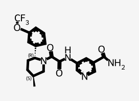 C[C@H]1CC[C@H](c2cccc(OC(F)(F)F)c2)N(C(=O)C(=O)Nc2cncc(C(N)=O)c2)C1